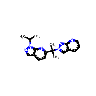 CC(C)n1ncc2ccc(C(C)(C)n3cc4cccnc4n3)nc21